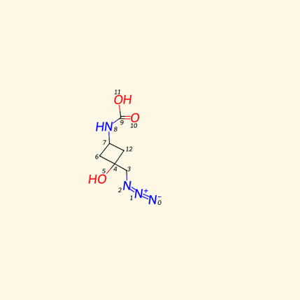 [N-]=[N+]=NCC1(O)CC(NC(=O)O)C1